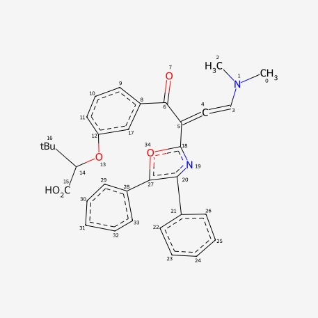 CN(C)C=C=C(C(=O)c1cccc(OC(C(=O)O)C(C)(C)C)c1)c1nc(-c2ccccc2)c(-c2ccccc2)o1